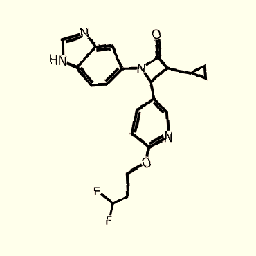 O=C1C(C2CC2)C(c2ccc(OCCC(F)F)nc2)N1c1ccc2[nH]cnc2c1